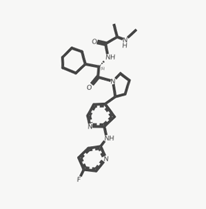 CNC(C)C(=O)N[C@H](C(=O)N1CCCC1c1ccnc(Nc2ccc(F)cn2)c1)C1CCCCC1